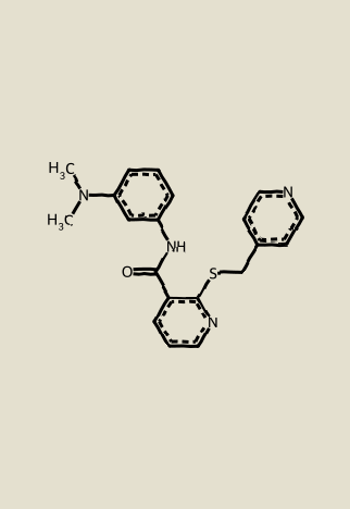 CN(C)c1cccc(NC(=O)c2cccnc2SCc2ccncc2)c1